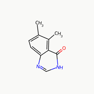 Cc1ccc2nc[nH]c(=O)c2c1C